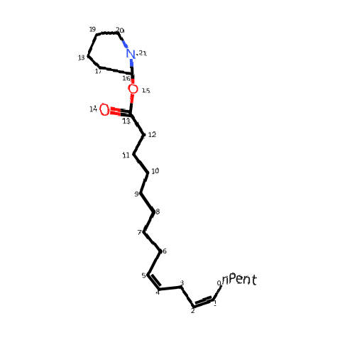 CCCCC/C=C\C/C=C\CCCCCCCC(=O)OC1CCCC[N]1